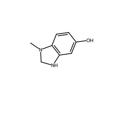 CN1CNc2cc(O)ccc21